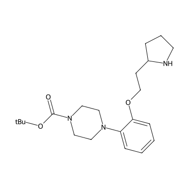 CC(C)(C)OC(=O)N1CCN(c2ccccc2OCCC2CCCN2)CC1